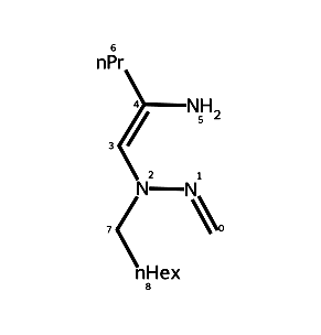 C=NN(/C=C(\N)CCC)CCCCCCC